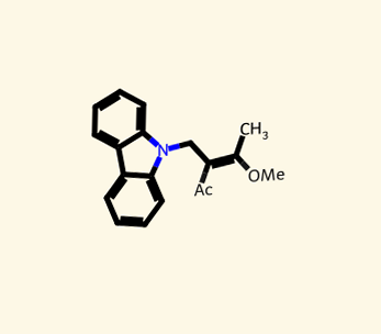 CO/C(C)=C(/Cn1c2ccccc2c2ccccc21)C(C)=O